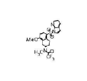 COc1ccc(S(=O)(=O)n2ccc3cccnc32)c2c1C[C@@H](N(C)C(=O)C(F)(F)F)CC2